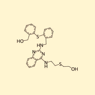 OCCSCCNc1nc(NCc2ccccc2Sc2ccccc2CO)nc2ccccc12